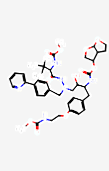 COC(=O)NCCOc1ccc(CC(NC(=O)OC2COC3OCCC23)C(O)CN(Cc2ccc(-c3ccccn3)cc2)NC(=O)C(NC(=O)OC)C(C)(C)C)cc1